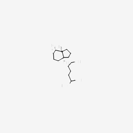 CC(C)CCCC(C)[C@H]1CC[C@H]2[C@H](O)CCC[C@]12C